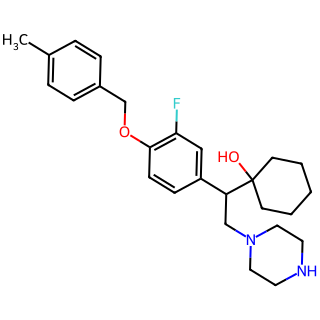 Cc1ccc(COc2ccc(C(CN3CCNCC3)C3(O)CCCCC3)cc2F)cc1